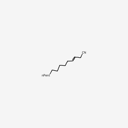 CCCCCCCCCCC=CCC#N